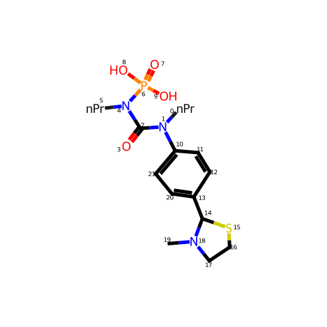 CCCN(C(=O)N(CCC)P(=O)(O)O)c1ccc(C2SCCN2C)cc1